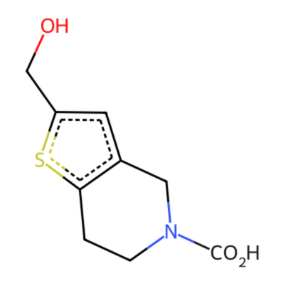 O=C(O)N1CCc2sc(CO)cc2C1